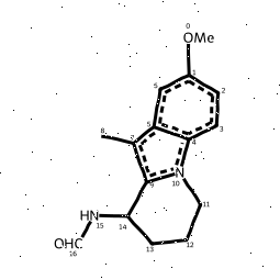 COc1ccc2c(c1)c(C)c1n2CCCC1NC=O